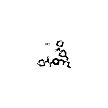 CCCN(CC1CCN(C(=O)N2CCOCC2)CC1)C(C)Cc1ccc(NC(=O)N2CCOCC2)cc1.Cl